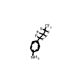 Nc1ccc(C(F)(F)C(F)(F)C(F)(F)C(F)(F)F)cc1